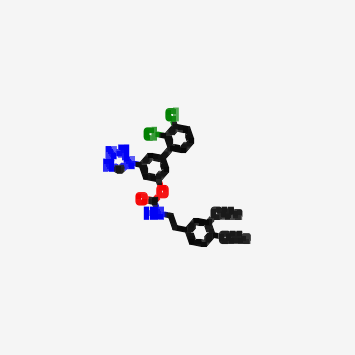 COc1ccc(CCNC(=O)Oc2cc(-c3cccc(Cl)c3Cl)cc(-n3cnnn3)c2)cc1OC